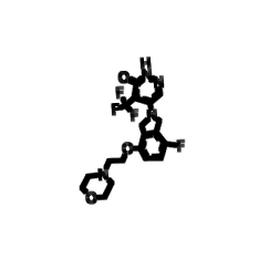 O=c1[nH]ncc(N2Cc3c(F)ccc(OCCN4CCOCC4)c3C2)c1C(F)(F)F